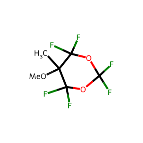 COC1(C)C(F)(F)OC(F)(F)OC1(F)F